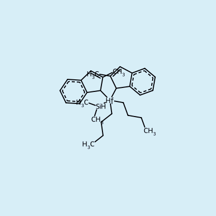 CCC[CH2][Hf]([CH2]CCC)([CH]1C(C)=Cc2ccccc21)([CH]1C(C)=Cc2ccccc21)[SiH](C)C